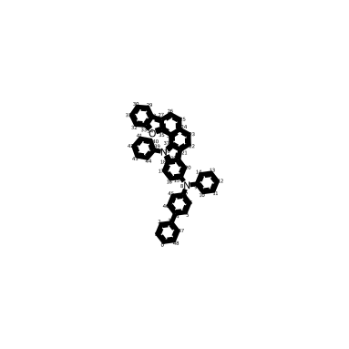 c1ccc(-c2ccc(N(c3ccccc3)c3ccc4c(c3)c3ccc5ccc6c7ccccc7oc6c5c3n4-c3ccccc3)cc2)cc1